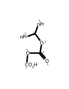 CCCC(CCC)OC(=O)OC(=O)O